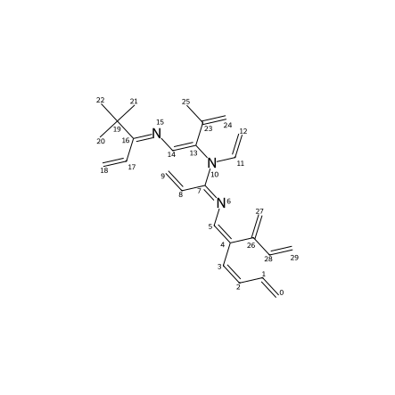 C=C\C=C/C(=C/N=C(\C=C)N(C=C)/C(=C/N=C(\C=C)C(C)(C)C)C(=C)C)C(=C)C=C